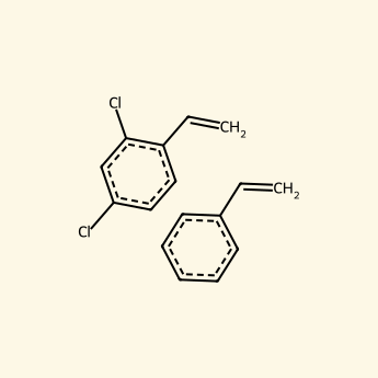 C=Cc1ccc(Cl)cc1Cl.C=Cc1ccccc1